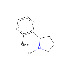 CSc1ccccc1C1CCCN1C(C)C